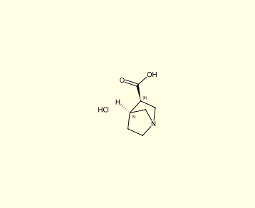 Cl.O=C(O)[C@H]1CN2CC[C@@H]1C2